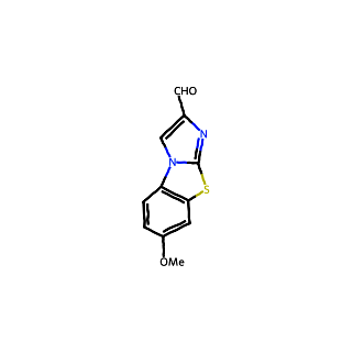 COc1ccc2c(c1)sc1nc(C=O)cn12